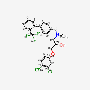 CN(Cc1ccc(-c2ccccc2C(F)(F)F)cc1)CC(O)COc1ccc(Cl)c(Cl)c1